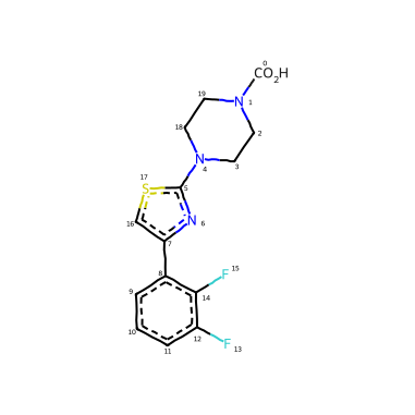 O=C(O)N1CCN(c2nc(-c3cccc(F)c3F)cs2)CC1